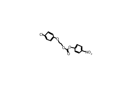 O=C(OCCOc1ccc(Cl)cc1)Oc1ccc([N+](=O)[O-])cc1